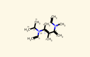 C=CN(C)C(=C)/C(C)=C(\C)N(C=C)C(C)C